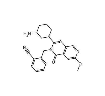 COc1cc2c(=O)n(Cc3ccccc3C#N)c(N3CCC[C@@H](N)C3)nc2cn1